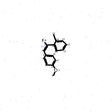 COc1ccc(/C=C(/F)c2ccccc2C)cc1